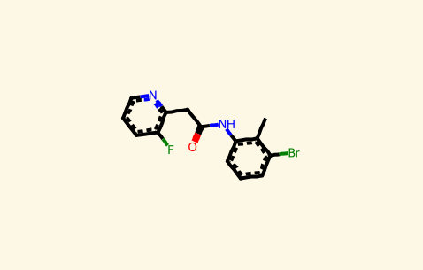 Cc1c(Br)cccc1NC(=O)Cc1ncccc1F